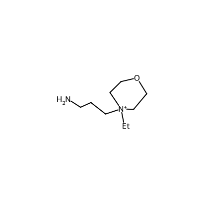 [CH2]C[N+]1(CCCN)CCOCC1